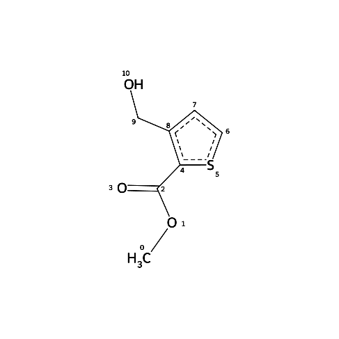 COC(=O)c1sccc1CO